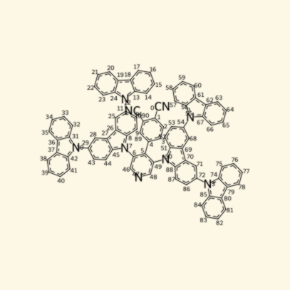 N#Cc1ccc(-c2c(-n3c4ccc(-n5c6ccccc6c6ccccc65)cc4c4cc(-n5c6ccccc6c6ccccc65)ccc43)cncc2-n2c3ccc(-n4c5ccccc5c5ccccc54)cc3c3cc(-n4c5ccccc5c5ccccc54)ccc32)cc1C#N